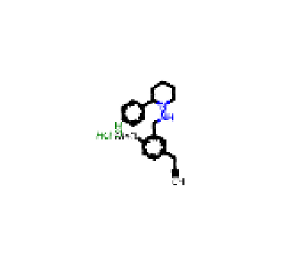 C#CCc1ccc(OC)c(CNN2CCCCC2c2ccccc2)c1.Cl.Cl